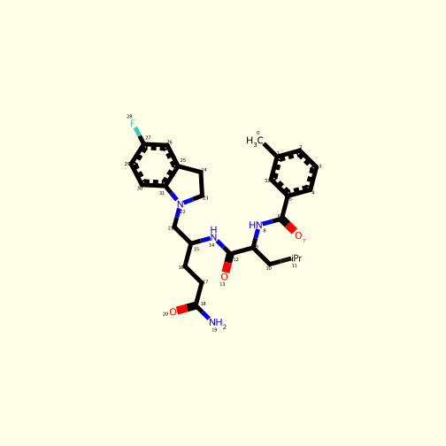 Cc1cccc(C(=O)NC(CC(C)C)C(=O)NC(CCC(N)=O)CN2CCc3cc(F)ccc32)c1